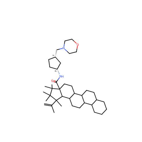 C=C(C)C1(C)C2C3CCC4C5CCCCC5CCC4C3CCC2(C(=O)N[C@@H]2CC[C@H](CN3CCOCC3)C2)C(C)(C)C1(C)C